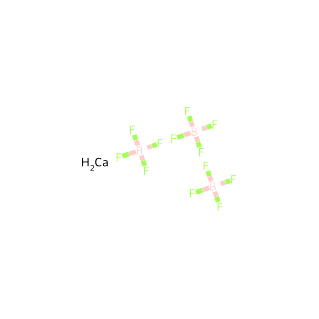 F[B-](F)(F)F.F[B-](F)(F)F.F[B-](F)(F)F.[CaH2]